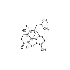 CC(C)CN1CC[C@]23c4c5ccc(O)c4O[C@H]2C(=O)CC[C@@]3(O)[C@H]1C5